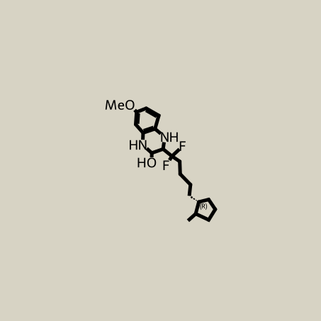 COc1ccc2c(c1)NC(O)C(C(F)(F)CCCC[C@@H]1CCCC1C)N2